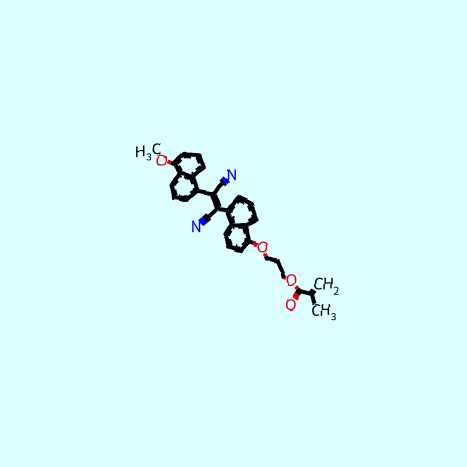 C=C(C)C(=O)OCCCOc1cccc2c(/C(C#N)=C(\C#N)c3cccc4c(OC)cccc34)cccc12